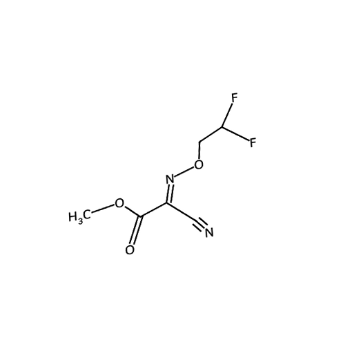 COC(=O)C(C#N)=NOCC(F)F